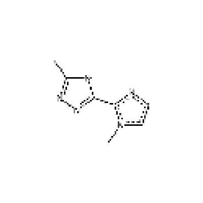 CC1=NN=C(c2nccn2C)[N]1